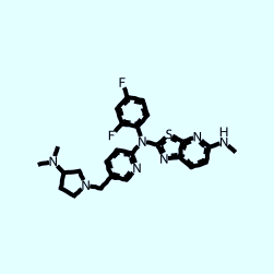 CNc1ccc2nc(N(c3ccc(CN4CCC(N(C)C)C4)cn3)c3ccc(F)cc3F)sc2n1